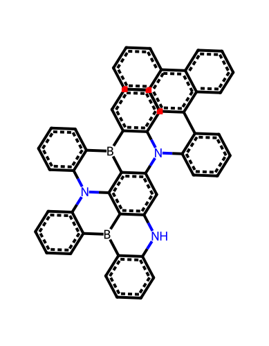 c1ccc2c(c1)Nc1cc3c4c5c1B2c1ccccc1N5c1ccccc1B4c1ccccc1N3c1ccccc1-c1cc2ccccc2c2ccccc12